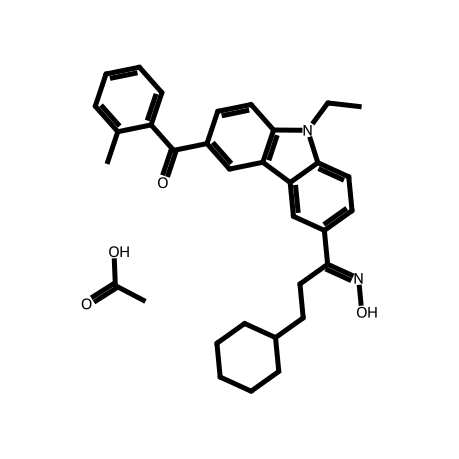 CC(=O)O.CCn1c2ccc(C(=O)c3ccccc3C)cc2c2cc(C(CCC3CCCCC3)=NO)ccc21